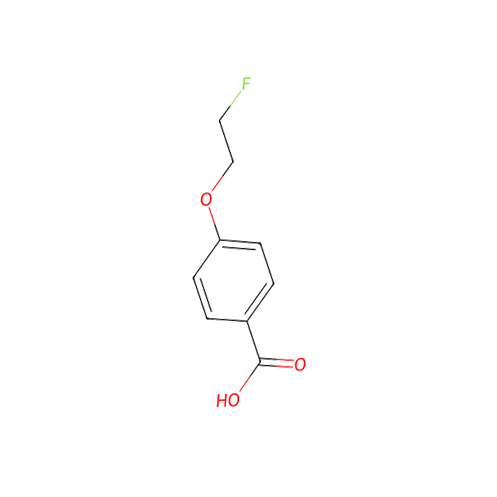 O=C(O)c1ccc(OCCF)cc1